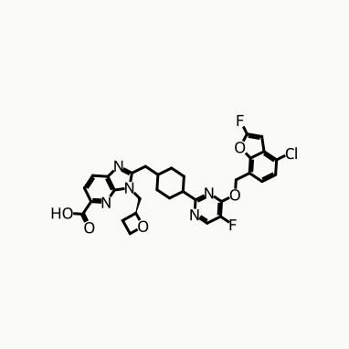 O=C(O)c1ccc2nc(CC3CCC(c4ncc(F)c(OCc5ccc(Cl)c6cc(F)oc56)n4)CC3)n(C[C@@H]3CCO3)c2n1